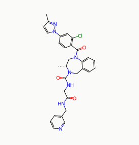 Cc1ccn(-c2ccc(C(=O)N3C[C@@H](C)N(C(=O)NCC(=O)NCc4cccnc4)Cc4ccccc43)c(Cl)c2)n1